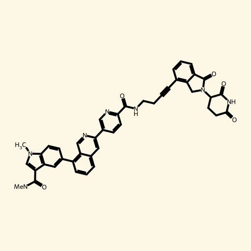 CNC(=O)c1cn(C)c2ccc(-c3cccc4cc(-c5ccc(C(=O)NCCC#Cc6cccc7c6CN(C6CCC(=O)NC6=O)C7=O)nc5)ncc34)cc12